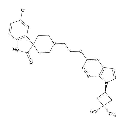 C[C@]1(O)C[C@@H](n2ccc3cc(OCCN4CCC5(CC4)C(=O)Nc4ccc(Cl)cc45)cnc32)C1